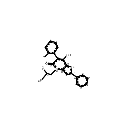 Cc1ccccc1-c1c(O)c2sc(-c3ccccc3)cc2n(CC(F)F)c1=O